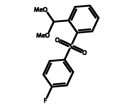 COC(OC)c1ccccc1S(=O)(=O)c1ccc(F)cc1